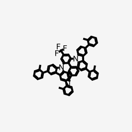 Cc1ccccc1-c1ccc2c(c1)c1cc(-c3ccccc3C)ccc1n2-c1cc(C(F)(F)F)cc(-n2c3ccc(-c4ccccc4C)cc3c3cc(-c4ccccc4C)ccc32)c1-c1cccc(C#N)c1